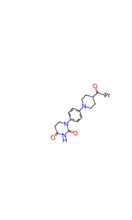 CC(C)C(=O)C1CCN(c2ccc(N3CCC(=O)NC3=O)cc2)CC1